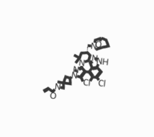 C=CC(=O)N1CC2(CC(n3nc(N4CC[C@@H](CN5CC6CCC(C5)O6)CC4(C)C)c(-c4c(Cl)c(Cl)cc5[nH]ncc45)c3C)C2)C1